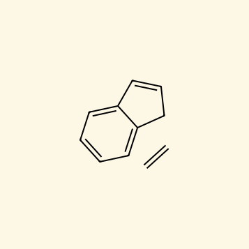 C1=Cc2ccccc2C1.C=C